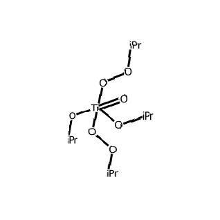 CC(C)O[O][Ti](=[O])([O]OC(C)C)([O]C(C)C)[O]C(C)C